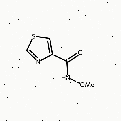 CONC(=O)c1cscn1